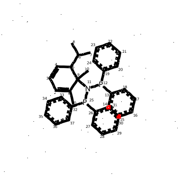 CC1=CC=CC(C(C)C)C1(C)N(P(c1ccccc1)c1ccccc1)P(c1ccccc1)c1ccccc1